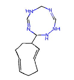 C1=N\CN/C=N\C(C2/C=C/CC/C=C/CC2)NN/1